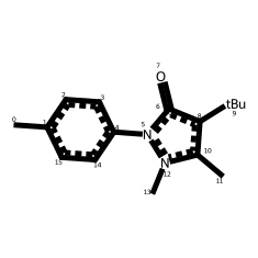 Cc1ccc(-n2c(=O)c(C(C)(C)C)c(C)n2C)cc1